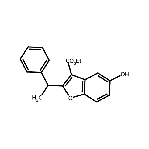 CCOC(=O)c1c(C(C)c2ccccc2)oc2ccc(O)cc12